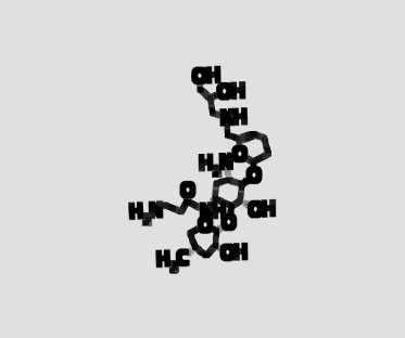 C[C@@H]1CO[C@H](O[C@@H]2[C@@H](O)[C@H](O[C@@H]3CCC=C(CNCC(O)CO)O3)[C@@H](N)C[C@H]2NC(=O)CCN)[C@H](O)C1